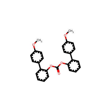 COc1ccc(-c2ccccc2OC(=O)Oc2ccccc2-c2ccc(OC)cc2)cc1